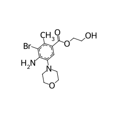 Cc1c(C(=O)OCCO)cc(N2CCOCC2)c(N)c1Br